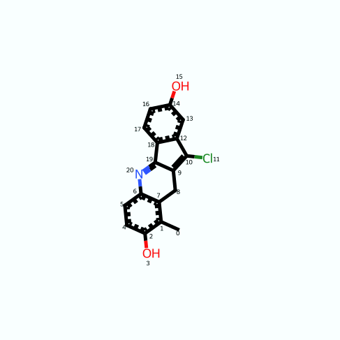 Cc1c(O)ccc2c1CC1=C(Cl)c3cc(O)ccc3C1=N2